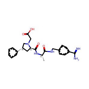 C[C@H](NC(=O)[C@H]1C[C@H](c2ccccc2)CN1CC(=O)O)C(=O)NCc1ccc(C(=N)N)cc1